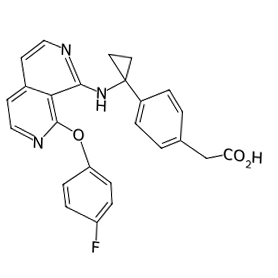 O=C(O)Cc1ccc(C2(Nc3nccc4ccnc(Oc5ccc(F)cc5)c34)CC2)cc1